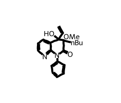 C=CC1(O)c2cccnc2N(c2ccccc2)C(=O)C1(CCCC)OC